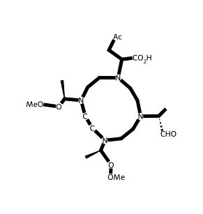 COO[C@@H](C)N1CCN(C(CC(C)=O)C(=O)O)CCN([C@H](C)C=O)CCN([C@H](C)OOC)CC1